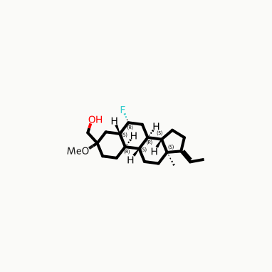 CC=C1CC[C@H]2[C@@H]3C[C@@H](F)[C@H]4CC(CO)(OC)CC[C@@H]4[C@H]3CC[C@]12C